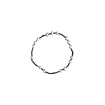 C1CCCCCCCCCCCCCCCCCCCCCCCC1